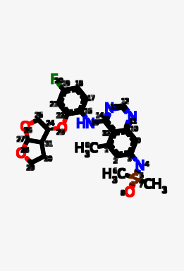 Cc1cc(N=S(C)(C)=O)cc2ncnc(Nc3ccc(F)cc3O[C@@H]3COC4OCCC43)c12